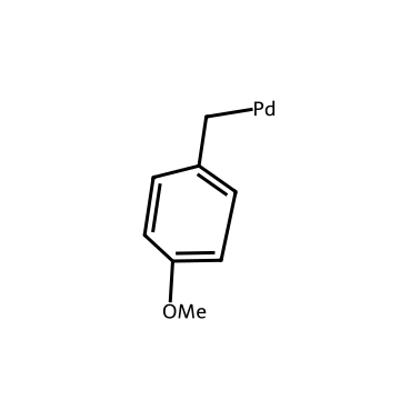 COc1ccc([CH2][Pd])cc1